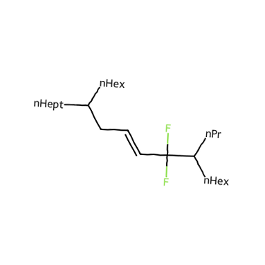 CCCCCCCC(C/C=C/C(F)(F)C(CCC)CCCCCC)CCCCCC